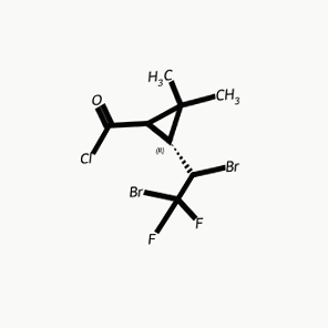 CC1(C)C(C(=O)Cl)[C@H]1C(Br)C(F)(F)Br